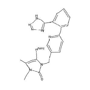 CCCCCc1c(C)n(C)c(=O)n1Cc1ccc(-c2ccccc2-c2nnn[nH]2)nc1